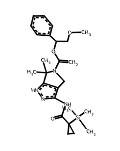 C=C(OC(COC)c1ccccc1)N1Cc2c(NC(=O)C3([Si](C)(C)C)CC3)n[nH]c2C1(C)C